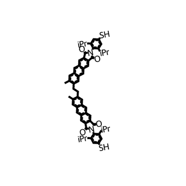 Cc1cc2cc3cc4c(cc3cc2cc1CCc1cc2cc3cc5c(cc3cc2cc1C)C(=O)N(c1c(C(C)C)cc(S)cc1C(C)C)C5=O)C(=O)N(c1c(C(C)C)cc(S)cc1C(C)C)C4=O